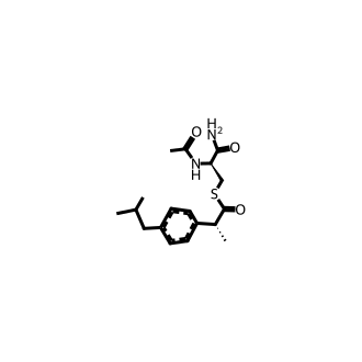 CC(=O)N[C@H](CSC(=O)[C@H](C)c1ccc(CC(C)C)cc1)C(N)=O